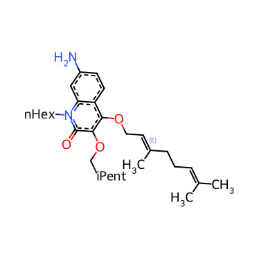 CCCCCCn1c(=O)c(OCC(C)CCC)c(OC/C=C(\C)CCC=C(C)C)c2ccc(N)cc21